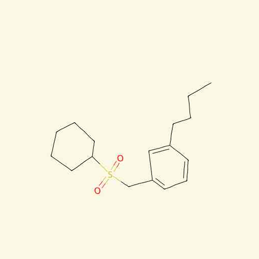 CCCCc1cccc(CS(=O)(=O)C2CCCCC2)c1